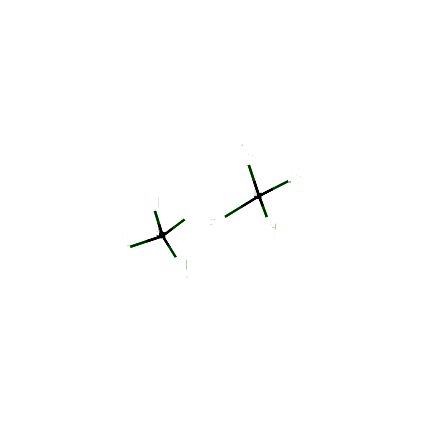 BrC(Br)(Br)Br.ClC(Cl)(Cl)Cl